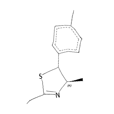 CC1=N[C@H](C)C(c2ccc(C)cc2)S1